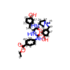 CCOC(=O)c1ccc(NC(=O)N[C@H](Cc2ccc(O)cc2)C(=O)N[C@H]2CC[N+](C)(Cc3ccc(O)cc3)C2)cc1